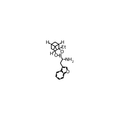 CC[C@@]12OB([C@@H](N)Cc3coc4ccccc34)O[C@@H]1C[C@@H]1C[C@H]2C1(C)C